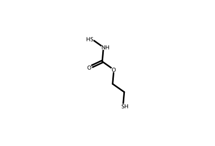 O=C(NS)OCCS